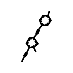 CC#Cc1ccc(C#Cc2ccc(C)cc2)cc1C